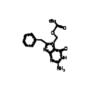 CC(C)(C)C(=O)OCn1c(Cc2ccccc2)nc2nc(N)[nH]c(=O)c21